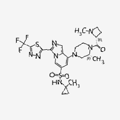 C[C@@H]1CN(c2cc(S(=O)(=O)NC3(C)CC3)cn3c(-c4nnc(C(F)(F)F)s4)ncc23)CCN1C(=O)[C@H]1CCN1C